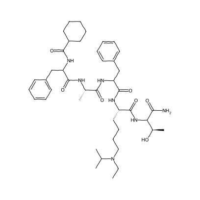 CCN(CCCC[C@H](NC(=O)C(Cc1ccccc1)NC(=O)[C@H](C)NC(=O)C(Cc1ccccc1)NC(=O)C1CCCCC1)C(=O)NC(C(N)=O)[C@@H](C)O)C(C)C